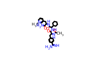 CC(=O)NC(Cc1ccc(C(=N)N)cc1)C(=O)NC(C(=O)NC(Cc1ccc[n+](C)c1)C(N)=O)C1CCCCC1